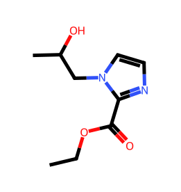 CCOC(=O)c1nccn1CC(C)O